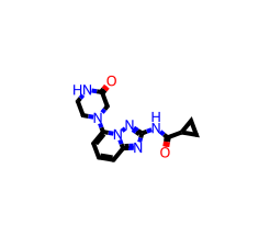 O=C1CN(c2cccc3nc(NC(=O)C4CC4)nn23)CCN1